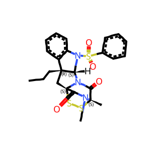 CCC[C@]12C[C@@]34SS[C@@](C)(C(=O)N3[C@H]1N(S(=O)(=O)c1ccccc1)c1ccccc12)N(C)C4=O